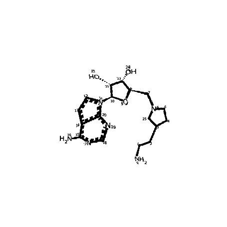 NCCC1CCN(C[C@H]2O[C@@H](n3ccc4c(N)ncnc43)[C@H](O)[C@@H]2O)C1